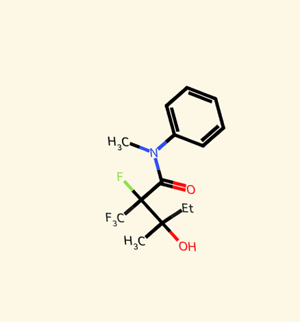 CCC(C)(O)C(F)(C(=O)N(C)c1ccccc1)C(F)(F)F